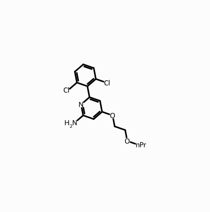 CCCOCCOc1cc(N)nc(-c2c(Cl)cccc2Cl)c1